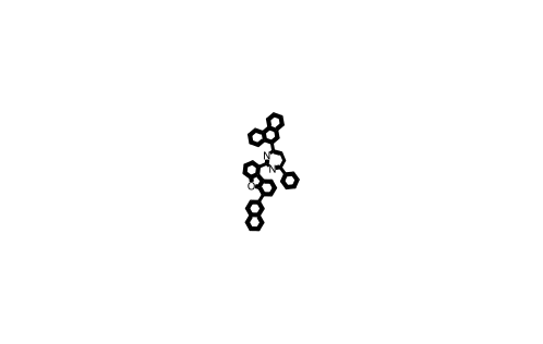 C1=C(c2cc3ccccc3c3ccccc23)N=C(c2cccc3oc4c(-c5ccc6ccccc6c5)cccc4c23)N=C(c2ccccc2)C1